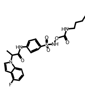 CCCCNC(=O)ONS(=O)(=O)c1ccc(NC(=O)C(C)n2ccc3c(F)cccc32)cc1